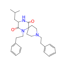 CC(C)CC1NC(=O)C2(CCN(CCc3ccccc3)CC2)N(CCc2ccccc2)C1=O